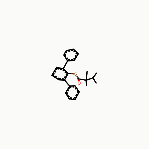 CC(C)C(C)(C)C(=O)Sc1c(-c2ccccc2)cccc1-c1ccccc1